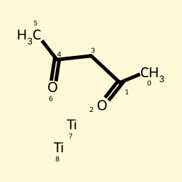 CC(=O)CC(C)=O.[Ti].[Ti]